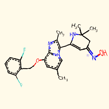 Cc1cc(OCc2c(F)cccc2F)c2nc(C)c(C3=C/C(=N/O)CC(C)(C)N3)n2c1